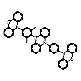 Cc1cc(N2c3ccccc3Sc3ccccc32)cc(C)c1B1c2ccccc2N(c2ccc(N3c4ccccc4Sc4ccccc43)cc2)c2ccccc21